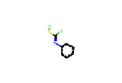 ClSC(Cl)=Nc1ccccc1